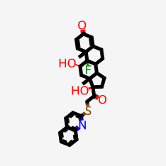 CC12C[C@H](O)[C@@]3(F)C(CCC4=CC(=O)C=CC43C)C1CC[C@]2(O)C(=O)CSc1ccc2ccccc2n1